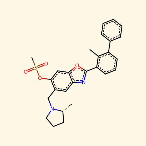 Cc1c(-c2ccccc2)cccc1-c1nc2cc(CN3CCC[C@H]3C)c(OS(C)(=O)=O)cc2o1